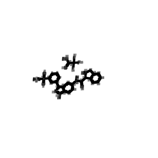 NS(=O)(=O)c1cccc(-c2n[nH]c3ccc(NC(=O)C4NCc5ccccc54)cc23)c1.O=C(O)C(F)(F)F